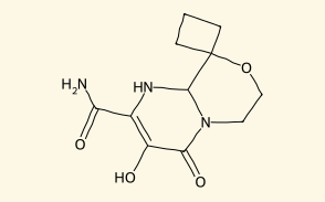 NC(=O)C1=C(O)C(=O)N2CCOC3(CCC3)C2N1